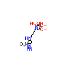 O=[N+]([O-])c1cc(NCCCCCCN2C[C@H](O)[C@@H](O)[C@H](O)[C@H]2CO)ccc1-n1cnnn1